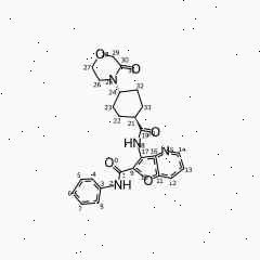 O=C(Nc1ccccc1)c1oc2cccnc2c1NC(=O)[C@H]1CC[C@H](N2CCOCC2=O)CC1